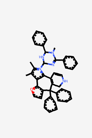 Cc1c2c(n(C3N=C(c4ccccc4)N(C)C(c4ccccc4)N3)c1C)C1=C(CNC=C1)C(c1ccccc1)(c1ccccc1)c1ccoc1-2